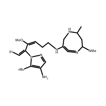 CC/C=C(\C(=C/CCNC1=C=NC(NC)CC(C)NC1)OC)n1ncc(N)c1CCCC